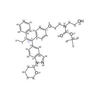 CC/C(=C(/c1ccc(OCCN(CCO)C(=O)OC(C)(C)C)cc1)c1ccc2c(cnn2C2CCCCO2)c1)c1ccccc1